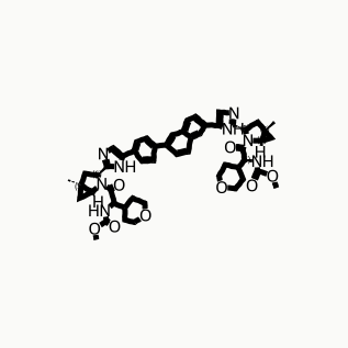 COC(=O)NC(C(=O)N1[C@H]2C[C@@]2(C)C[C@H]1c1ncc(-c2ccc(-c3ccc4cc(-c5cnc([C@@H]6C[C@]7(C)C[C@@H]7N6C(=O)[C@@H](NC(=O)OC)C6CCOCC6)[nH]5)ccc4c3)cc2)[nH]1)C1CCOCC1